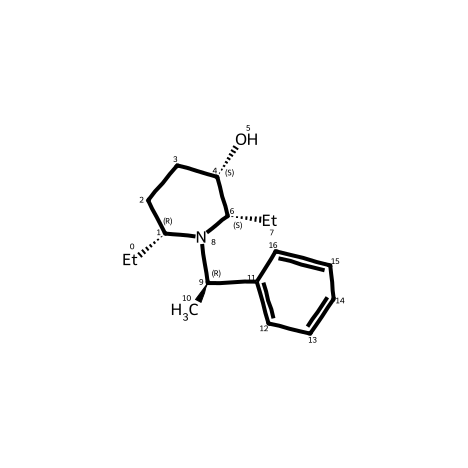 CC[C@@H]1CC[C@H](O)[C@H](CC)N1[C@H](C)c1ccccc1